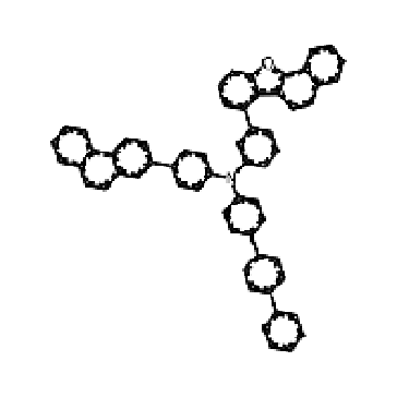 c1ccc(-c2ccc(-c3ccc(N(c4ccc(-c5ccc6c(ccc7ccccc76)c5)cc4)c4cccc(-c5cccc6oc7c8ccccc8ccc7c56)c4)cc3)cc2)cc1